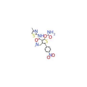 Cc1csc(NC(=O)c2c(OC(N)=O)sc(-c3ccc([N+](=O)[O-])cc3)c2CN(C)C)n1